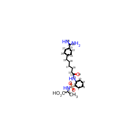 C[C@H](NS(=O)(=O)c1ccccc1NC(=O)CCCCCc1ccc(C(=N)N)cc1)C(=O)O